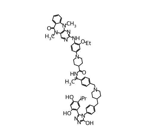 CCOc1cc(N2CCC(C(=O)N[C@H](C)c3ccc(CN4CCC(Cc5ccc(-n6c(O)nnc6-c6cc(C(C)C)c(O)cc6O)cc5)CC4)cc3)CC2)ccc1Nc1ncc2c(n1)N(C)c1ccccc1C(=O)N2C